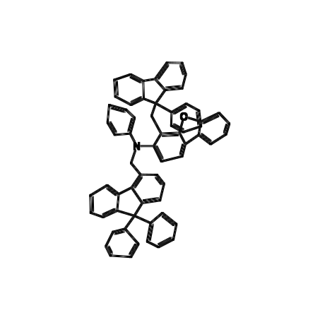 c1ccc(N(Cc2cccc3c2-c2ccccc2C3(c2ccccc2)c2ccccc2)c2ccc3c(oc4ccccc43)c2CC2(c3ccccc3)c3ccccc3-c3ccccc32)cc1